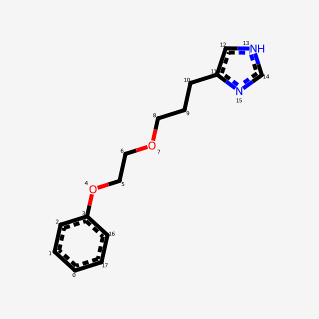 c1ccc(OCCOCCCc2c[nH]cn2)cc1